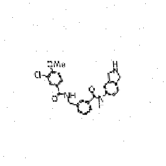 COc1ccc(C(=O)NCc2cccc(C(=O)Nc3ccc4c(c3)CNC4)c2)cc1Cl